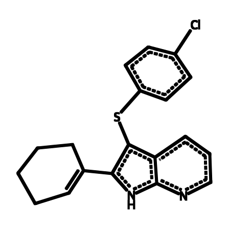 Clc1ccc(Sc2c(C3=CCCCC3)[nH]c3ncccc23)cc1